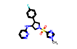 Cn1cnc(S(=O)(=O)N2CC(Nc3cccnn3)C(c3ccc(F)cc3)C2)c1